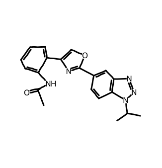 CC(=O)Nc1ccccc1-c1coc(-c2ccc3c(c2)nnn3C(C)C)n1